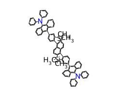 C[Si]1(C)c2cc(-c3c4ccccc4c(N(c4ccccc4)c4ccccc4)c4ccccc34)ccc2-c2c1ccc1c3c(ccc21)[Si](C)(C)c1cc(-c2c4ccccc4c(N(c4ccccc4)c4ccccc4)c4ccccc24)ccc1-3